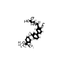 CC(C)(C)C1CCC(Oc2cccc(-c3ccc(F)c(CNCCC(=O)O)c3)c2)CC1